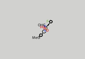 COc1ccc(C2CCN(S(=O)(=O)CC(C#Cc3ccccc3F)N(O)C=O)CC2)cc1